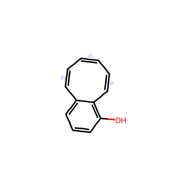 Oc1cccc2c1\C=C/C=C\C=C/2